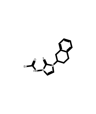 CCC(=O)Nn1ccn(C2CCc3ccccc3C2)c1=S